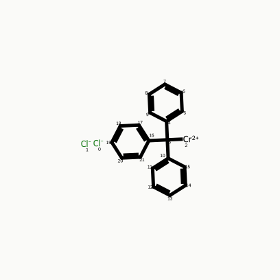 [Cl-].[Cl-].[Cr+2][C](c1ccccc1)(c1ccccc1)c1ccccc1